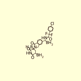 BC1C[C@](B)(N2Cc3cc(C(B)NC(=O)C(F)(F)c4ccc(Cl)cc4)ccc3C2=O)C(=O)NC1=O